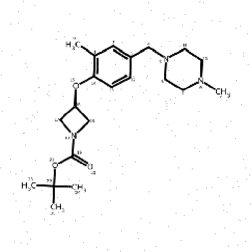 Cc1cc(CN2CCN(C)CC2)ccc1OC1CN(C(=O)OC(C)(C)C)C1